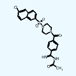 CC(=O)NC(=N)c1ccc(C(=O)N2CCN(S(=O)(=O)c3ccc4cc(Cl)ccc4c3)CC2)cc1